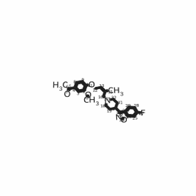 COc1cc(C(C)=O)ccc1OC/C=C(/C)CN1CCC(c2noc3cc(F)ccc23)CC1